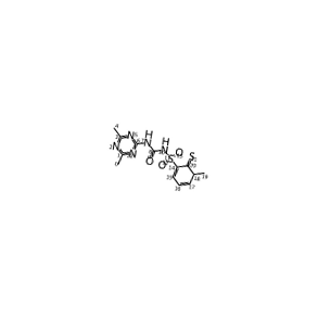 Cc1nc(C)nc(NC(=O)NS(=O)(=O)C2=CC=CC(C)C2=S)n1